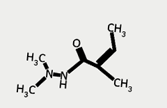 CC=C(C)C(=O)NN(C)C